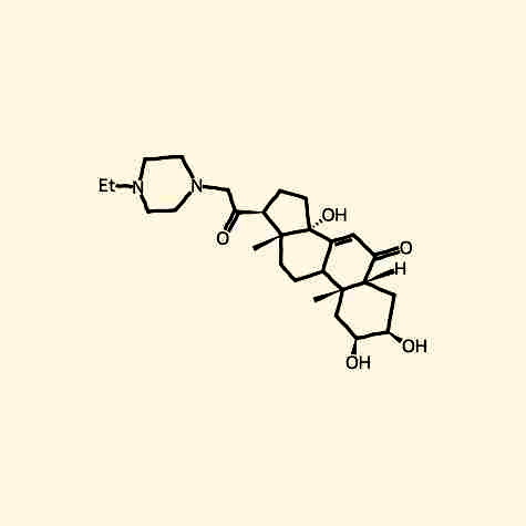 CCN1CCN(CC(=O)[C@H]2CC[C@@]3(O)C4=CC(=O)[C@@H]5C[C@@H](O)[C@@H](O)C[C@]5(C)C4CC[C@]23C)CC1